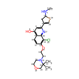 CC(C)NC1CC(c2cc(O)c3ccc(OCCN4CCOCC4(C)C)c(Cl)c3n2)=CS1